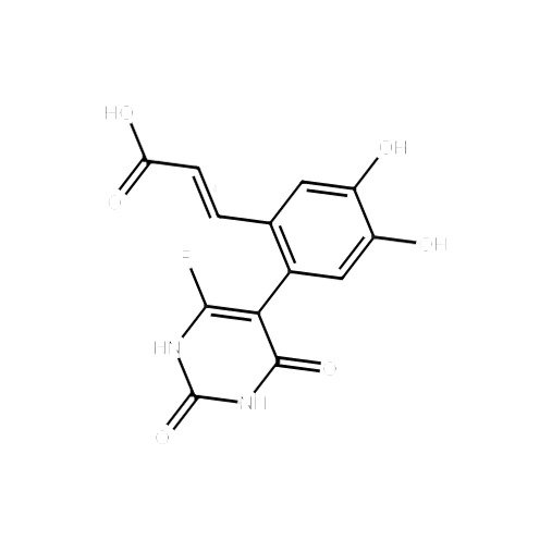 O=C(O)/C=C/c1cc(O)c(O)cc1-c1c(F)[nH]c(=O)[nH]c1=O